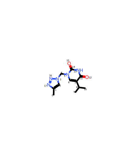 Cc1cn(Cn2cc(C(C)C)c(=O)[nH]c2=O)nn1